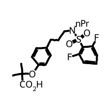 CCCN(CCCc1ccc(OC(C)(C)C(=O)O)cc1)S(=O)(=O)c1c(F)cccc1F